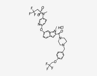 CN(c1ccc(Oc2ccc3cc(C(=O)N4CCN(Cc5ccc(OCC(F)(F)F)cc5)CC4)n(C)c3c2)nc1)S(=O)(=O)CC(F)(F)F.Cl